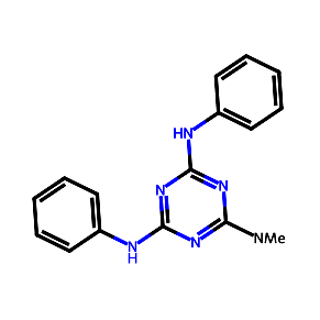 CNc1nc(Nc2ccccc2)nc(Nc2ccccc2)n1